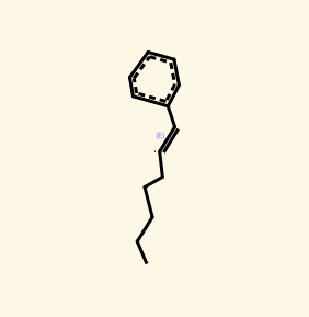 CCCCC/[C]=C/c1ccccc1